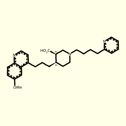 COc1ccc2nccc(CCC[C@@H]3CCN(CCCCc4ccccn4)C[C@@H]3C(=O)O)c2c1